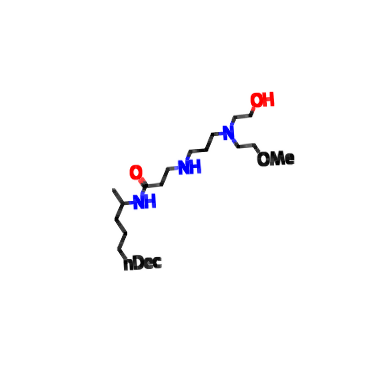 CCCCCCCCCCCCCC(C)NC(=O)CCNCCCN(CCO)CCOC